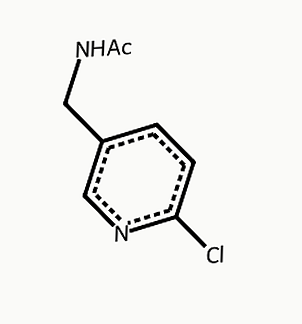 CC(=O)NCc1ccc(Cl)nc1